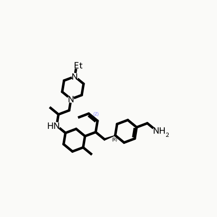 C/C=C\C(C[C@@H]1CC=C(CN)CC1)C1CC(NC(C)CN2CCN(CC)CC2)CCC1C